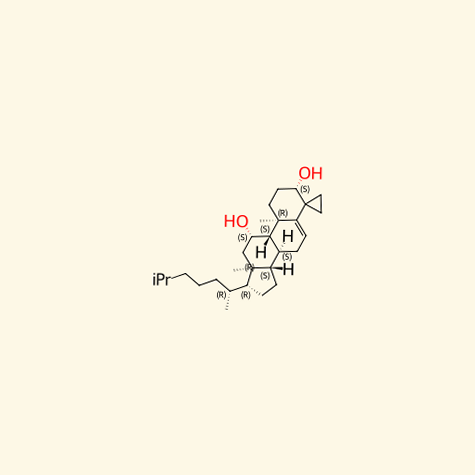 CC(C)CCC[C@@H](C)[C@H]1CC[C@H]2[C@@H]3CC=C4C5(CC5)[C@@H](O)CC[C@]4(C)[C@H]3[C@@H](O)C[C@]12C